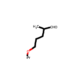 CC(C=O)CC[CH]OC(C)C